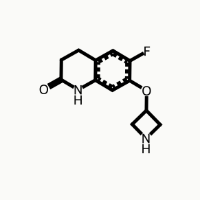 O=C1CCc2cc(F)c(OC3CNC3)cc2N1